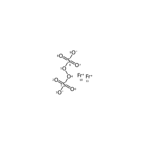 O=S(=O)([O-])OOS(=O)(=O)[O-].[Fr+].[Fr+]